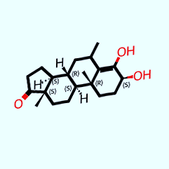 CC1C[C@@H]2[C@H](CC[C@]3(C)C(=O)CC[C@@H]23)[C@@]2(C)CC[C@H](O)C(O)=C12